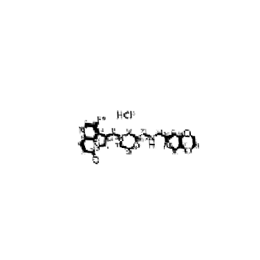 Cl.O=c1ccc2ncc(F)c3c2n1CC3CN1CCO[C@@H](CNCc2cc3c(cn2)OCCO3)C1